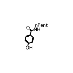 CCCCCNC(=O)c1ccc(O)cc1